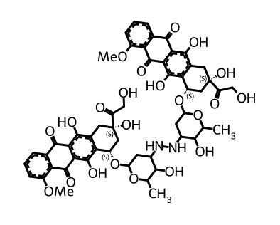 COc1cccc2c1C(=O)c1c(O)c3c(c(O)c1C2=O)C[C@@](O)(C(=O)CO)C[C@@H]3OC1CC(NNC2CC(O[C@H]3C[C@](O)(C(=O)CO)Cc4c(O)c5c(c(O)c43)C(=O)c3c(OC)cccc3C5=O)OC(C)C2O)C(O)C(C)O1